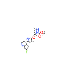 Cc1cc(-c2ccnc3cc(F)ccc23)ncc1OC[C@](C)(CC(C)C)NC(=O)OC(C)(C)C